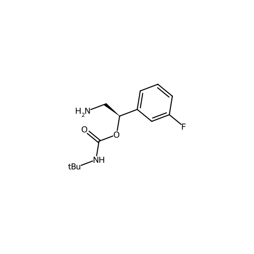 CC(C)(C)NC(=O)O[C@@H](CN)c1cccc(F)c1